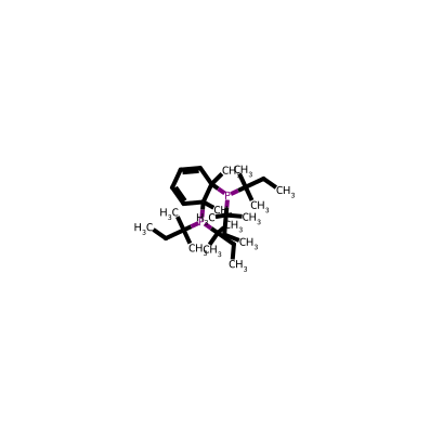 CCC(C)(C)P(C(C)(C)CC)C1(C)C=CC=CC1(C)P(C(C)(C)CC)C(C)(C)CC